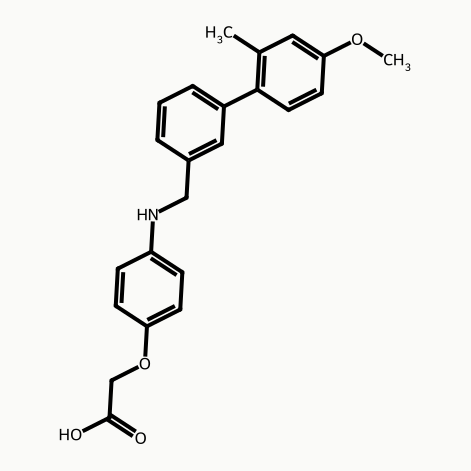 COc1ccc(-c2cccc(CNc3ccc(OCC(=O)O)cc3)c2)c(C)c1